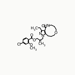 CCc1nn(C[C@@H](C)COC(=O)c2ccc(Cl)cc2OC)c2c1C(=O)NCCCOCCC2